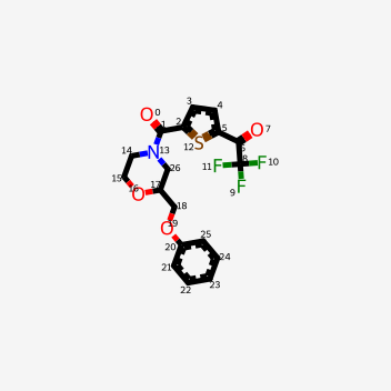 O=C(c1ccc(C(=O)C(F)(F)F)s1)N1CCOC(COc2ccccc2)C1